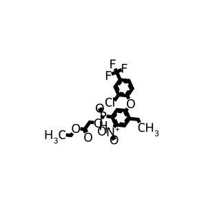 CCOC(=O)CO[PH](=O)c1cc(Oc2ccc(C(F)(F)F)cc2Cl)c(CC)cc1[N+](=O)[O-]